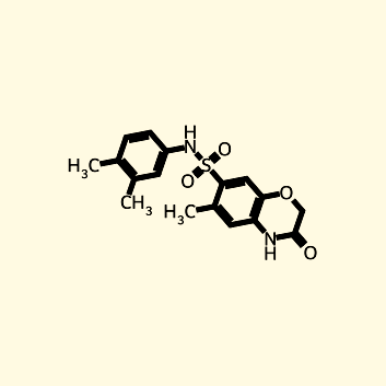 Cc1ccc(NS(=O)(=O)c2cc3c(cc2C)NC(=O)CO3)cc1C